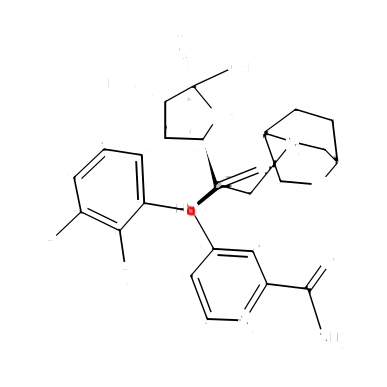 C[C@H]1[C@@H](c2ccc(F)c(F)c2OCCN2CC3CCC2CO3)[C@H](C(=O)Nc2ccnc(C(N)=O)c2)O[C@@]1(C)C(F)(F)F